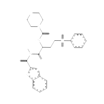 CCCCCN(C(=O)c1nc2ccccc2o1)C(=O)C(CCS(=O)(=O)c1ccccc1)NC(=O)N1CCOCC1